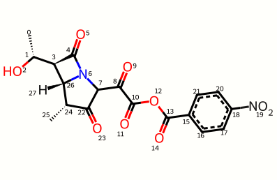 C[C@@H](O)[C@H]1C(=O)N2C(C(=O)C(=O)OC(=O)c3ccc([N+](=O)[O-])cc3)C(=O)[C@H](C)[C@H]12